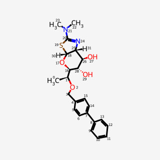 C[C@H](OCc1ccc(-c2ccccc2)cc1)[C@H]1O[C@@H]2SC(N(C)C)=N[C@@H]2[C@@H](O)[C@@H]1O